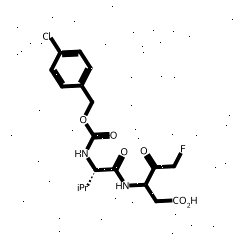 CC(C)[C@H](NC(=O)OCc1ccc(Cl)cc1)C(=O)NC(CC(=O)O)C(=O)CF